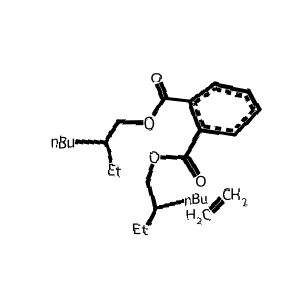 C=C.CCCCC(CC)COC(=O)c1ccccc1C(=O)OCC(CC)CCCC